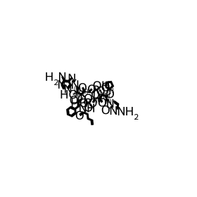 C=CCCC(=O)NC(C(=O)O[C@H]1[C@@H](O)[C@H](n2cnc3c(N)ncnc32)O[C@H]1COP(=O)(O)O[C@H]1[C@@H](O[C@@H]2CCCO2)[C@H](n2ccc(N)nc2=O)O[C@@H]1COP(=O)(O)O)c1ccccc1